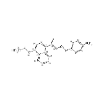 CC(=NOCc1ccc(C(F)(F)F)cc1)c1ccc(OCC(=O)O)c2ncccc12